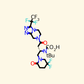 CC(C)(C)N(C(=O)O)[C@@H](CC(=O)N1CCn2c(nnc2C(F)(F)C(F)(F)F)C1)CN1CC(F)(F)CCC1=O